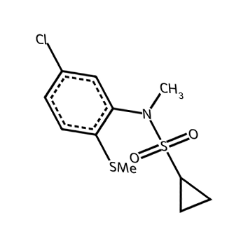 CSc1ccc(Cl)cc1N(C)S(=O)(=O)C1CC1